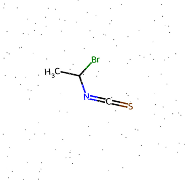 CC(Br)N=C=S